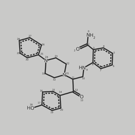 NC(=O)c1ccccc1NCC(C(=O)c1ccc(O)cc1)N1CCN(c2ccccc2)CC1